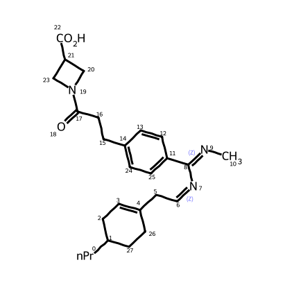 CCCC1CC=C(C/C=N\C(=N/C)c2ccc(CCC(=O)N3CC(C(=O)O)C3)cc2)CC1